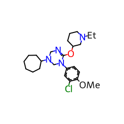 CCN1CCCC(OC2=NCN(C3CCCCCC3)CN2c2ccc(OC)c(Cl)c2)C1